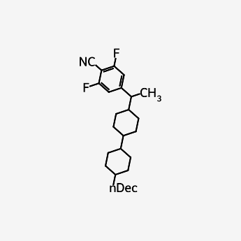 CCCCCCCCCCC1CCC(C2CCC(C(C)c3cc(F)c(C#N)c(F)c3)CC2)CC1